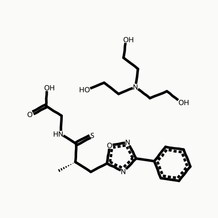 C[C@@H](Cc1nc(-c2ccccc2)no1)C(=S)NCC(=O)O.OCCN(CCO)CCO